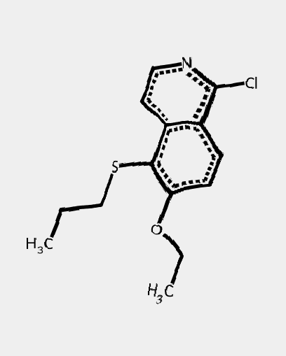 CCCSc1c(OCC)ccc2c(Cl)nccc12